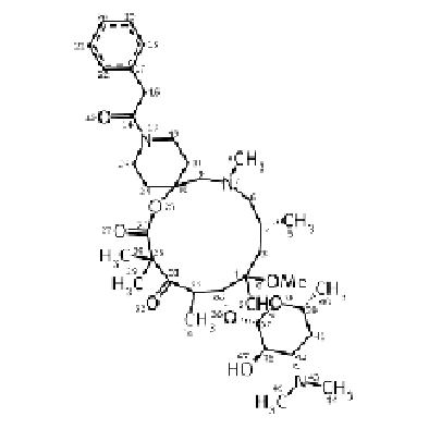 CO[C@]1(C)C[C@@H](C)CN(C)CC2(CCN(C(=O)Cc3ccccc3)CC2)OC(=O)C(C)(C)C(=O)[C@H](C)[C@H]1O[C@@H]1O[C@H](C)C[C@H](N(C)C)[C@H]1O